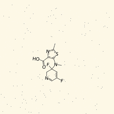 Cc1nc(C(=O)O)c(N(C)C2(F)C=C(F)C=NC2)s1